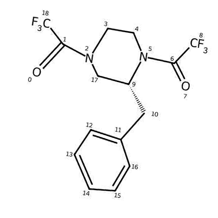 O=C(N1CCN(C(=O)C(F)(F)F)[C@H](Cc2ccccc2)C1)C(F)(F)F